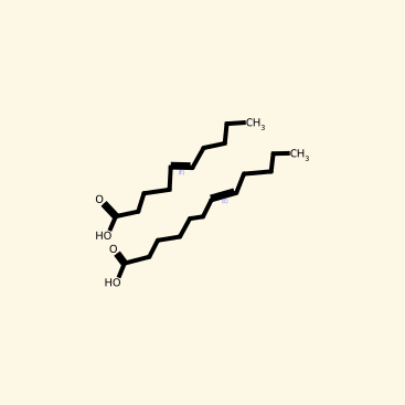 CCCC/C=C/CCCC(=O)O.CCCC/C=C/CCCCCC(=O)O